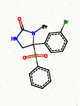 CC(C)N1C(=O)NCC1(c1cccc(Br)c1)S(=O)(=O)c1ccccc1